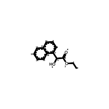 CCOC(=O)C(O)c1cccc2ccccc12